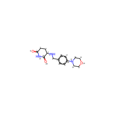 O=C1CCC(NCc2ccc(N3CCOCC3)cc2)C(=O)N1